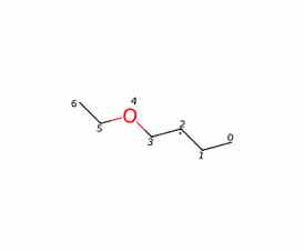 CC[CH]COCC